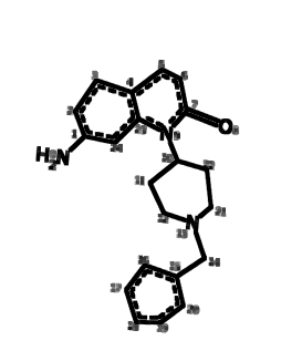 Nc1ccc2ccc(=O)n(C3CCN(Cc4ccccc4)CC3)c2c1